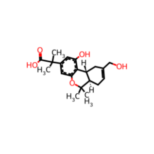 CC(C)(C(=O)O)c1cc(O)c2c(c1)OC(C)(C)[C@@H]1CC=C(CO)C[C@@H]21